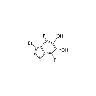 CCc1csc2c(F)c(O)c(O)c(F)c12